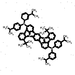 CC(C)C1=CC(N(c2ccc(C(C)C)cc2)c2ccc3c4cc5c(cc4n4c6c(C(C)(C)C)cccc6c2c34)c2ccc(N(c3ccc(C(C)C)cc3)c3cccc(C(C)C)c3)c3c4cccc(C(C)(C)C)c4n5c23)CC=C1